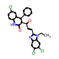 CCn1c(C=CC(=O)c2c(-c3ccccc3)c3cc(Cl)ccc3[nH]c2=O)nc2cc(Cl)c(Cl)cc21